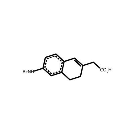 CC(=O)Nc1ccc2c(c1)CCC(CC(=O)O)=C2